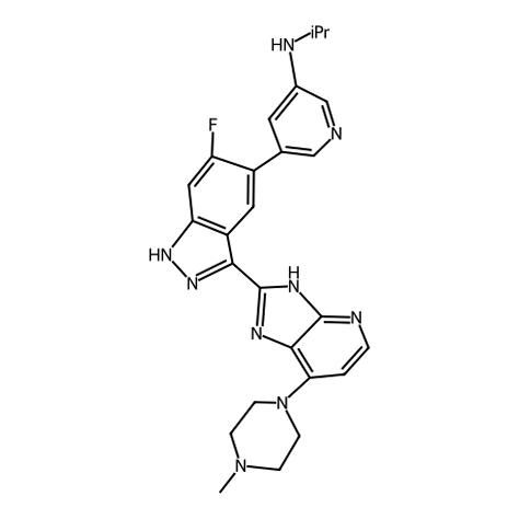 CC(C)Nc1cncc(-c2cc3c(-c4nc5c(N6CCN(C)CC6)ccnc5[nH]4)n[nH]c3cc2F)c1